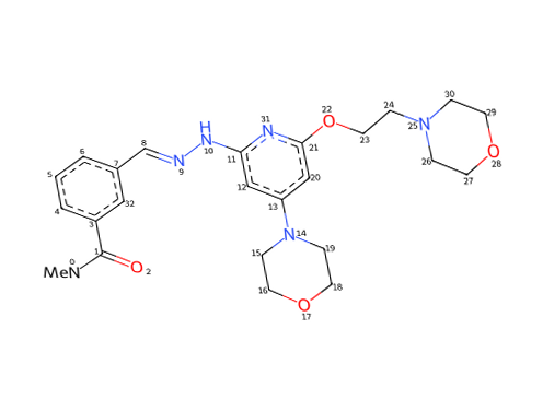 CNC(=O)c1cccc(C=NNc2cc(N3CCOCC3)cc(OCCN3CCOCC3)n2)c1